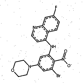 O=[N+]([O-])c1c(Br)cc(N2CCOCC2)cc1Nc1ccnc2cc(F)ccc12